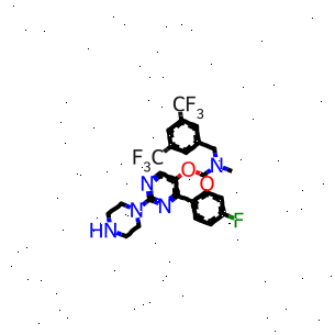 CN(Cc1cc(C(F)(F)F)cc(C(F)(F)F)c1)C(=O)Oc1cnc(N2CCNCC2)nc1-c1ccc(F)cc1